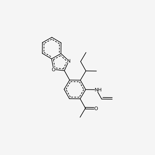 C=CNc1c(C(C)=O)ccc(-c2nc3ccccc3o2)c1C(C)CC